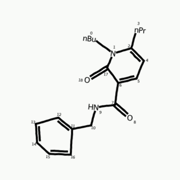 CCCCn1c(CCC)ccc(C(=O)NCc2ccccc2)c1=O